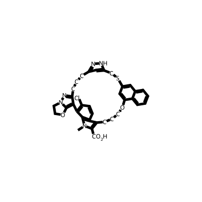 Cn1c(C(=O)O)c2c3ccc(Cl)c(c31)-c1c(nn3c1OCC3)CCCc1cc([nH]n1)CSc1cc(c3ccccc3c1)OCCC2